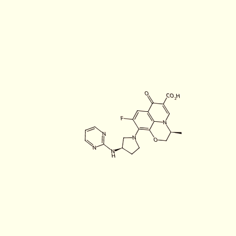 C[C@H]1COc2c(N3CC[C@@H](Nc4ncccn4)C3)c(F)cc3c(=O)c(C(=O)O)cn1c23